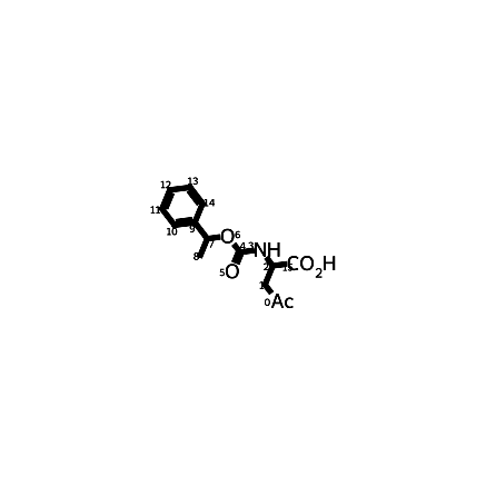 CC(=O)CC(NC(=O)OC(C)c1ccccc1)C(=O)O